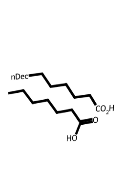 CCCCCCC(=O)O.CCCCCCCCCCCCCCCC(=O)O